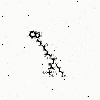 CCCCOC[C@H](NC(=O)OC(C)(C)C)C(=O)NNC(=O)SCC(=O)NCCc1c[nH]c2ccccc12